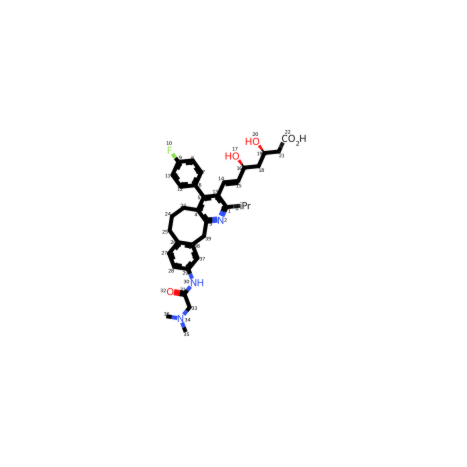 CC(C)c1nc2c(c(-c3ccc(F)cc3)c1/C=C/[C@@H](O)C[C@@H](O)CC(=O)O)CCCc1ccc(NC(=O)CN(C)C)cc1C2